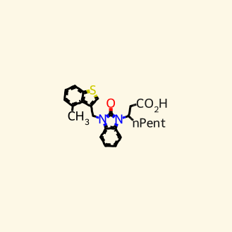 CCCCCC(CC(=O)O)n1c(=O)n(Cc2csc3cccc(C)c23)c2ccccc21